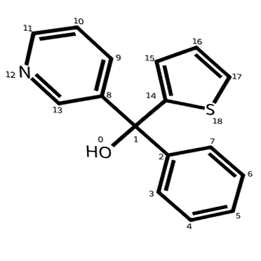 OC(c1ccccc1)(c1cccnc1)c1cccs1